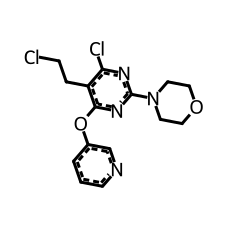 ClCCc1c(Cl)nc(N2CCOCC2)nc1Oc1cccnc1